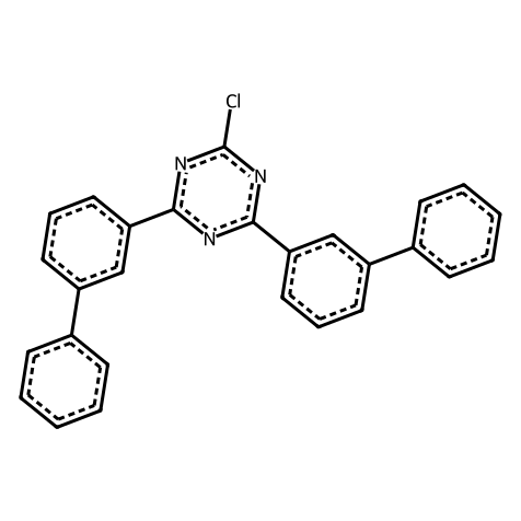 Clc1nc(-c2cccc(-c3ccccc3)c2)nc(-c2cccc(-c3ccccc3)c2)n1